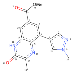 COC(=O)c1cc(-c2cnn(C)c2)c2nc(C)c(=O)[nH]c2c1